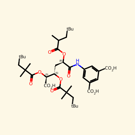 CC(CC(C)(C)C)C(=O)O[C@H](C[C@H](OC(=O)C(C)(C)CC(C)(C)C)[C@H](OC(=O)C(C)(C)CC(C)(C)C)C(=O)O)C(=O)Nc1cc(C(=O)O)cc(C(=O)O)c1